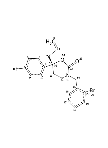 C=CC[C@]1(c2ccc(F)cc2)CCN(Cc2ccccc2Br)C(=O)O1